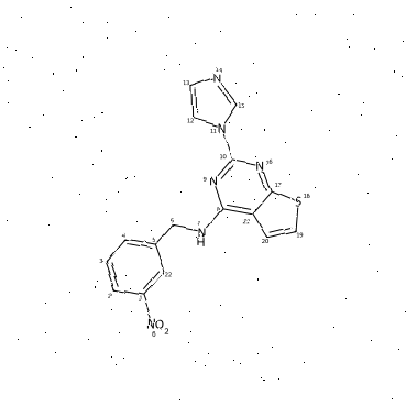 O=[N+]([O-])c1cccc(CNc2nc(-n3ccnc3)nc3sccc23)c1